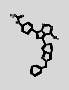 CC(=O)Nc1ccc(-c2cc(-c3ccc4cn(Cc5ccccc5)nc4c3)c3c(N)ncnn23)cc1